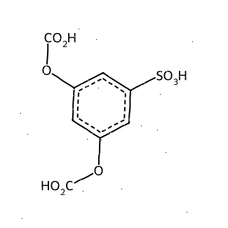 O=C(O)Oc1cc(OC(=O)O)cc(S(=O)(=O)O)c1